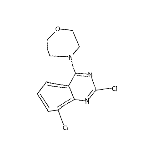 Clc1nc(N2CCOCC2)c2cccc(Cl)c2n1